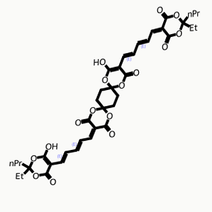 CCCC1(CC)OC(=O)C(=C/C=C/C=C/C2=C(O)OC3(CCC4(CC3)OC(=O)C(=C/C=C/C=C/C3=C(O)OC(CC)(CCC)OC3=O)C(=O)O4)OC2=O)C(=O)O1